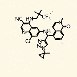 Cn1ccc2c(C(Nc3cc(Cl)c4ncc(C#N)c(NCC(C)(C)C(F)(F)F)c4c3)c3cn(C4(C)CC4)nn3)cccc2c1=O